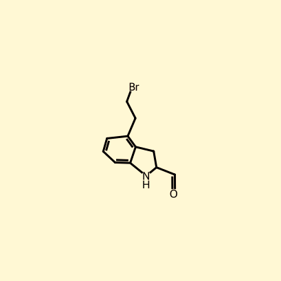 O=CC1Cc2c(CCBr)cccc2N1